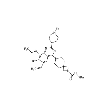 C=Cc1cc2c(N3CCC4(CC3)CN(C(=O)OC(C)(C)C)C4)nc(C3CCN(CC)CC3)nc2c(OCC(F)(F)F)c1Br